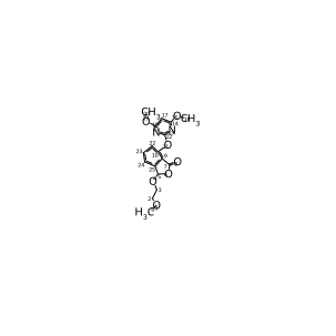 COCCOC1OC(=O)c2c(Oc3nc(OC)cc(OC)n3)cccc21